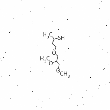 COCC(COCCC(C)S)OC